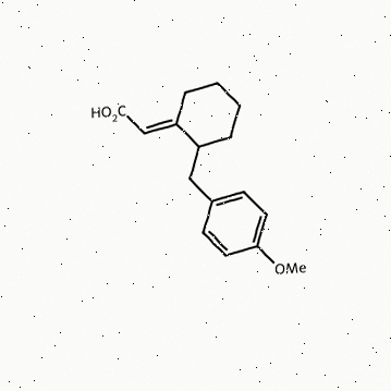 COc1ccc(CC2CCCC/C2=C\C(=O)O)cc1